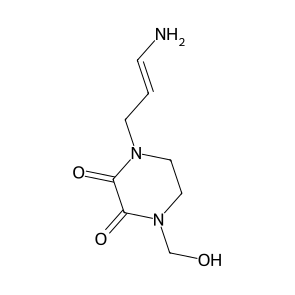 NC=CCN1CCN(CO)C(=O)C1=O